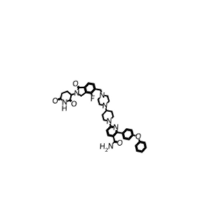 NC(=O)c1ccc(N2CCC(N3CCN(Cc4ccc5c(c4F)CN(C4CCC(=O)NC4=O)C5=O)CC3)CC2)nc1-c1ccc(Oc2ccccc2)cc1